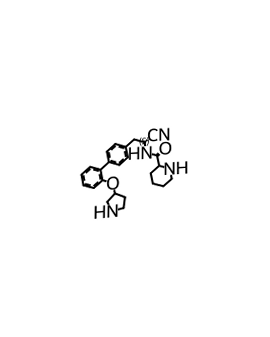 N#C[C@H](Cc1ccc(-c2ccccc2OC2CCNC2)cc1)NC(=O)C1CCCCN1